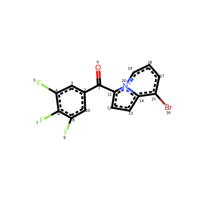 O=C(c1cc(F)c(F)c(F)c1)c1ccc2c(Br)cccn12